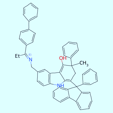 CC/C(=N\Cc1ccc2[nH]c3c(c2c1)=C(O)C(C)(c1ccccc1)CC=3C1(c2ccccc2)c2ccccc2-c2ccccc21)c1ccc(-c2ccccc2)cc1